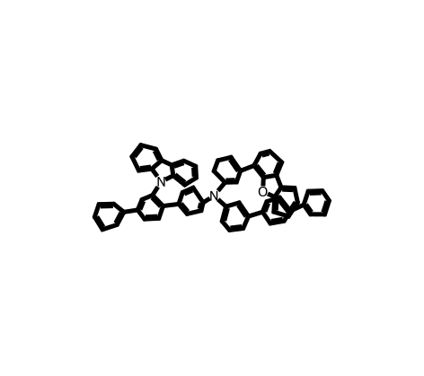 C1=C(c2cccc3c2oc2ccccc23)C=C(N(c2ccc(-c3ccc(-c4ccccc4)cc3-n3c4ccccc4c4ccccc43)cc2)c2cccc(-c3ccc(-c4ccccc4)cc3)c2)CC1